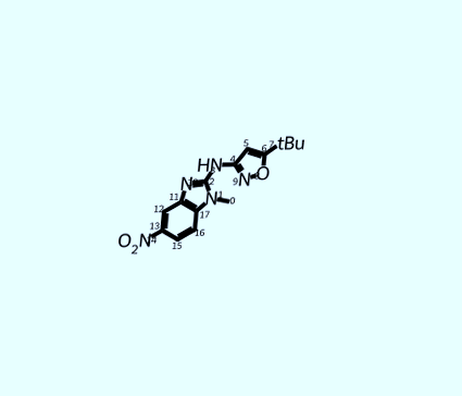 Cn1c(Nc2cc(C(C)(C)C)on2)nc2cc([N+](=O)[O-])ccc21